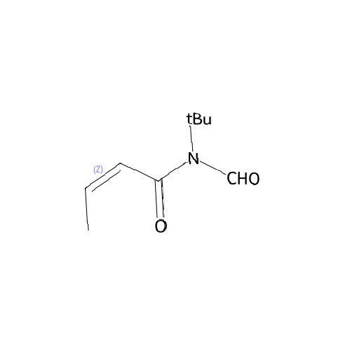 C/C=C\C(=O)N(C=O)C(C)(C)C